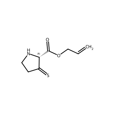 C=CCOC(=O)[C@H]1NCCC1=S